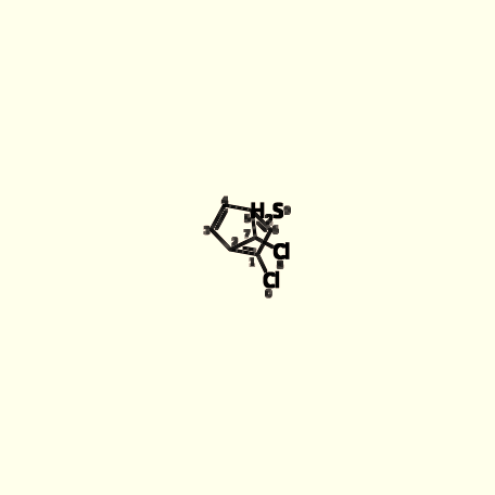 ClC1=C2C=CC(=C1)C2Cl.S